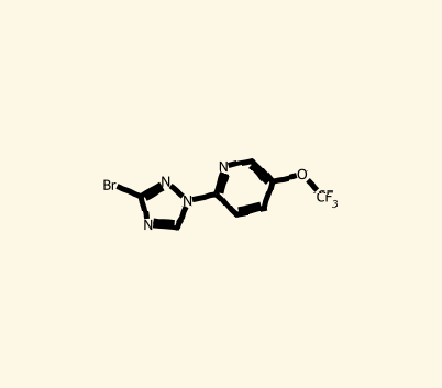 FC(F)(F)Oc1ccc(-n2cnc(Br)n2)nc1